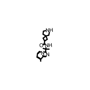 Cc1cccn2c(C(C)(C)NC(=O)C3CC4(CCNCC4)C3)ncc12